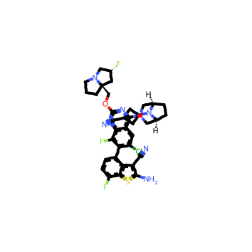 N#Cc1c(N)sc2c(F)ccc(-c3c(Cl)cc4c(N5C[C@H]6CC[C@@H](C5)N6C5CC(C#N)C5)nc(OC[C@@]56CCCN5C[C@H](F)C6)nc4c3F)c12